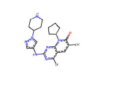 CCc1nc(Nc2cnn(C3CCNCC3)c2)nc2c1cc(C#N)c(=O)n2C1CCCC1